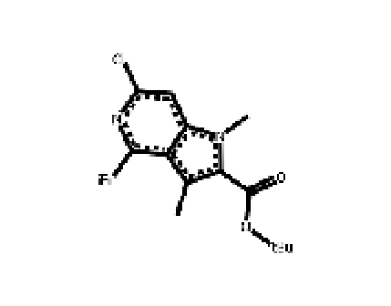 Cc1c(C(=O)OC(C)(C)C)n(C)c2cc(Cl)nc(C(C)C)c12